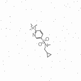 CN(CC1CC1)S(=O)(=O)c1cc[c]([Sn]([CH3])([CH3])[CH3])nc1